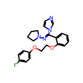 Fc1ccc(OCCOc2ccccc2/C(=N/N2CCCC2)n2ccnc2)cc1